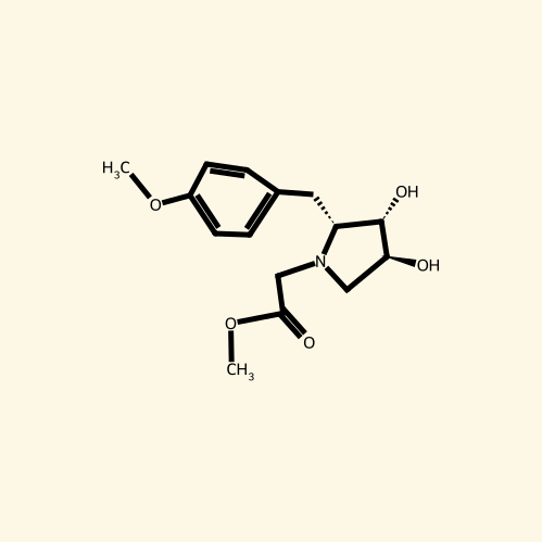 COC(=O)CN1C[C@H](O)[C@@H](O)[C@H]1Cc1ccc(OC)cc1